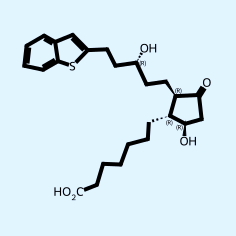 O=C(O)CCCCCC[C@H]1[C@H](O)CC(=O)[C@@H]1CC[C@@H](O)CCc1cc2ccccc2s1